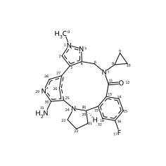 Cn1cc2c(n1)CN(C1CC1)C(=O)c1ccc(F)cc1[C@H]1CCCN1c1cc-2cnc1N